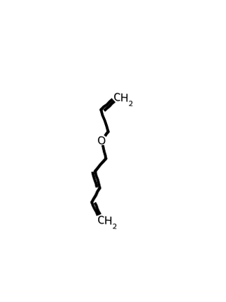 C=CC=CCOCC=C